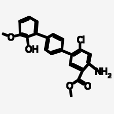 COC(=O)c1cc(-c2ccc(-c3cccc(OC)c3O)cc2)c(Cl)cc1N